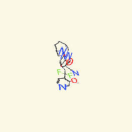 COc1cnccc1C(F)(F)CCC(=O)N1CC2CCC(C1)N2c1ccc(C#N)cn1